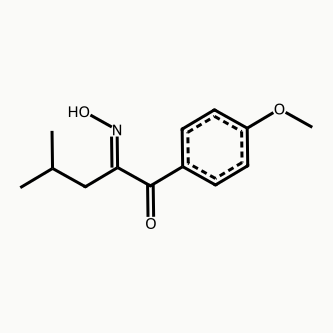 COc1ccc(C(=O)C(CC(C)C)=NO)cc1